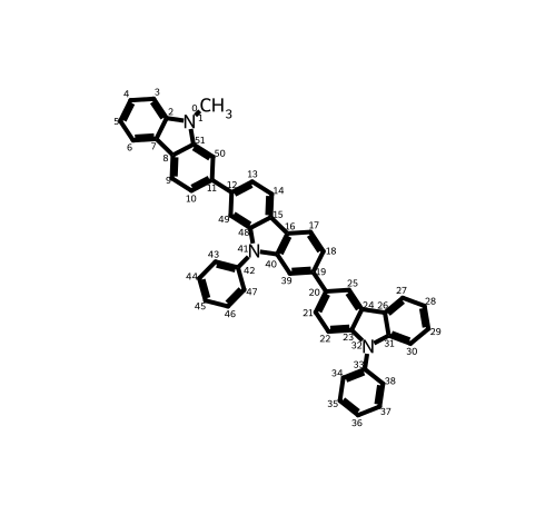 Cn1c2ccccc2c2ccc(-c3ccc4c5ccc(-c6ccc7c(c6)c6ccccc6n7-c6ccccc6)cc5n(-c5ccccc5)c4c3)cc21